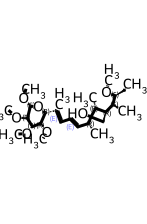 CC[C@H](OC)[C@@H](C)[C@H]1CC(O)([C@H](C)/C=C/C=C(\C)[C@H]2O[C@H](OC)[C@H](OC)[C@@H](OC)[C@@H]2OC)[C@@H]1C